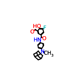 CN(c1ccc(NC(=O)c2cc(F)c(O)c(C=O)c2)cc1)C12CC3CC4CC(C1)C42C3